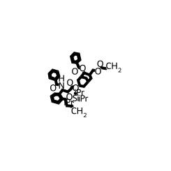 C=CCCc1ccccc1[C@H](NC(=O)c1ccccc1)[C@@H](O[Si](C(C)C)(C(C)C)C(C)C)C(=O)OC1CC2CC(COC(=O)C=C)C(OC(=O)c3ccccc3)C(C2)C1